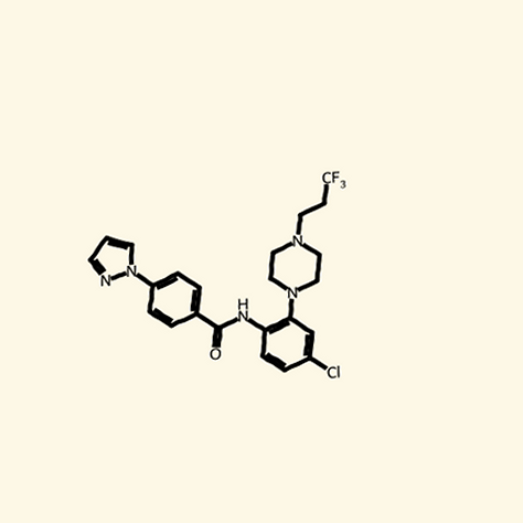 O=C(Nc1ccc(Cl)cc1N1CCN(CCC(F)(F)F)CC1)c1ccc(-n2cccn2)cc1